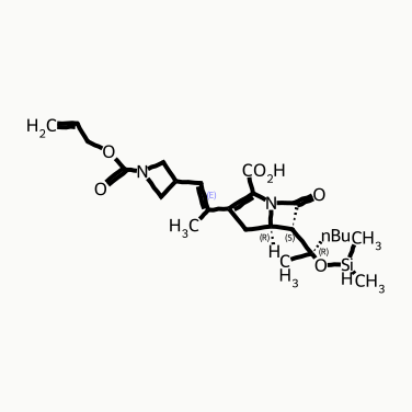 C=CCOC(=O)N1CC(/C=C(\C)C2=C(C(=O)O)N3C(=O)[C@H]([C@@](C)(CCCC)O[SiH](C)C)[C@H]3C2)C1